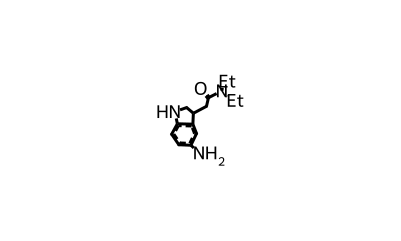 CCN(CC)C(=O)CC1CNc2ccc(N)cc21